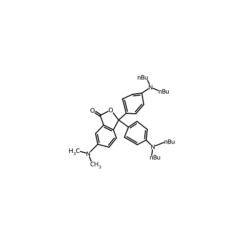 CCCCN(CCCC)c1ccc(C2(c3ccc(N(CCCC)CCCC)cc3)OC(=O)c3cc(N(C)C)ccc32)cc1